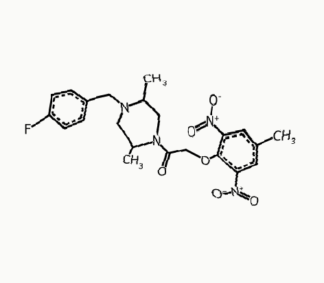 Cc1cc([N+](=O)[O-])c(OCC(=O)N2CC(C)N(Cc3ccc(F)cc3)CC2C)c([N+](=O)[O-])c1